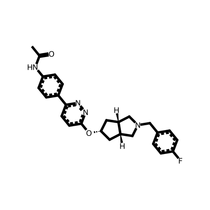 CC(=O)Nc1ccc(-c2ccc(O[C@@H]3C[C@@H]4CN(Cc5ccc(F)cc5)C[C@@H]4C3)nn2)cc1